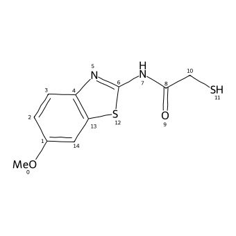 COc1ccc2nc(NC(=O)CS)sc2c1